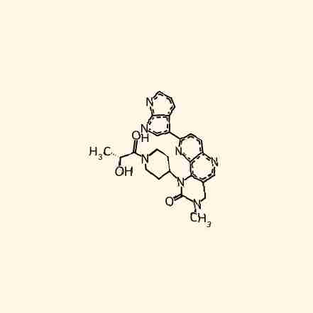 C[C@@H](O)C(=O)N1CCC(N2C(=O)N(C)Cc3cnc4ccc(-c5c[nH]c6ncccc56)nc4c32)CC1